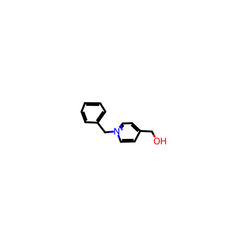 OCc1cc[n+](Cc2ccccc2)cc1